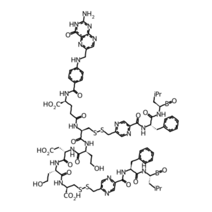 CC(C)C[C@@H](B=O)NC(=O)[C@H](Cc1ccccc1)NC(=O)c1cnc(CSSC[C@H](NC(=O)[C@H](CCO)NC(=O)[C@H](CC(=O)O)NC(=O)[C@H](CCO)NC(=O)[C@H](CSSCc2cnc(C(=O)N[C@@H](Cc3ccccc3)C(=O)N[C@H](B=O)CC(C)C)cn2)NC(=O)CC[C@H](NC(=O)c2ccc(NCc3cnc4nc(N)[nH]c(=O)c4n3)cc2)C(=O)O)C(=O)O)cn1